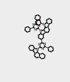 c1ccc(-c2nc(-c3ccc4c(c3)c3ccc5c6ccccc6n(-c6ccccc6)c5c3n4-c3nc(-c4ccccc4)nc(-c4ccccc4)n3)nc(-n3c4ccccc4c4ccc5ccccc5c43)n2)cc1